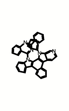 c1ccc(-c2nc(-n3c4ccccc4c4c5ccccc5c5c6ccncc6n(-c6ccccc6)c5c43)c3ccccc3n2)cc1